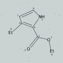 CCOC(=O)c1[nH]ccc1CC